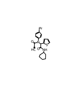 C#CC(=O)N(c1ccc(C(C)C)cc1)C(C(=O)NC1CCCCC1)c1cccs1